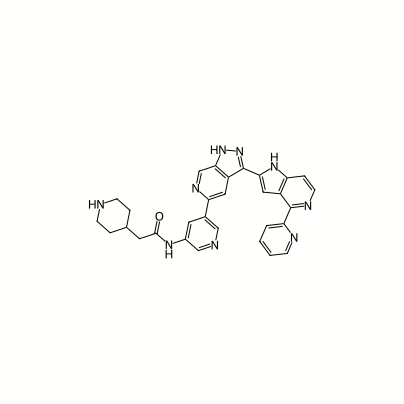 O=C(CC1CCNCC1)Nc1cncc(-c2cc3c(-c4cc5c(-c6ccccn6)nccc5[nH]4)n[nH]c3cn2)c1